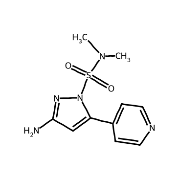 CN(C)S(=O)(=O)n1nc(N)cc1-c1ccncc1